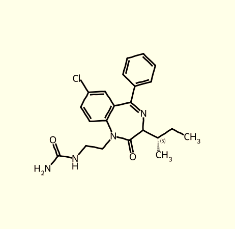 CC[C@H](C)C1N=C(c2ccccc2)c2cc(Cl)ccc2N(CCNC(N)=O)C1=O